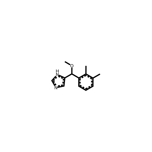 COC(c1cnc[nH]1)c1cccc(C)c1C